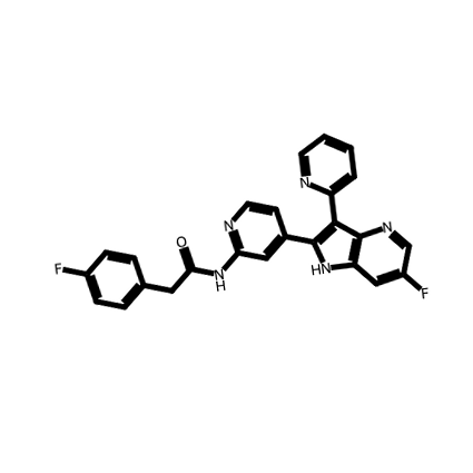 O=C(Cc1ccc(F)cc1)Nc1cc(-c2[nH]c3cc(F)cnc3c2-c2ccccn2)ccn1